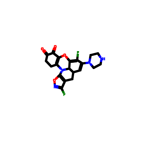 O=C1CCC2=C(OC3=C(F)C(N4CCNCC4)=CC4Cc5c(F)noc5N2C34)C1=O